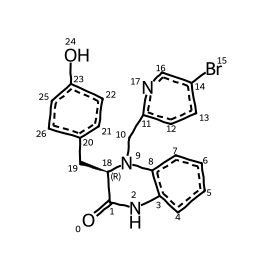 O=C1Nc2ccccc2N(Cc2ccc(Br)cn2)[C@@H]1Cc1ccc(O)cc1